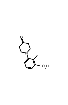 Cc1c(C(=O)O)cccc1N1CCC(=O)CC1